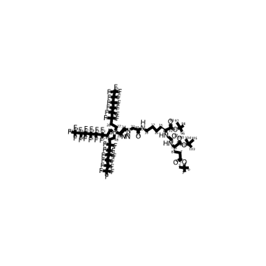 CC(C)(C)OC(=O)CC[C@H](NC(=O)N[C@@H](CCCCNC(=O)Cn1c[c]([Sn]([CH2]CC(F)(F)C(F)(F)C(F)(F)C(F)(F)C(F)(F)C(F)(F)F)([CH2]CC(F)(F)C(F)(F)C(F)(F)C(F)(F)C(F)(F)C(F)(F)F)[CH2]CC(F)(F)C(F)(F)C(F)(F)C(F)(F)C(F)(F)C(F)(F)F)nn1)C(=O)OC(C)(C)C)C(=O)OC(C)(C)C